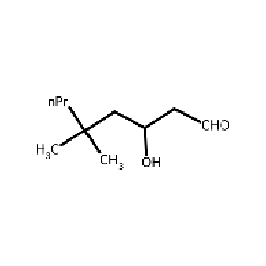 CCCC(C)(C)CC(O)CC=O